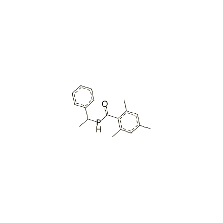 Cc1cc(C)c(C(=O)PC(C)c2ccccc2)c(C)c1